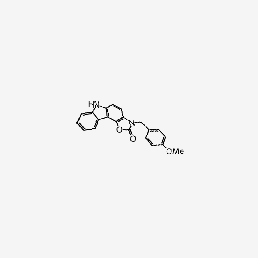 COc1ccc(Cn2c(=O)oc3c4c(ccc32)[nH]c2ccccc24)cc1